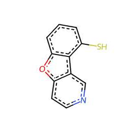 Sc1cccc2oc3ccncc3c12